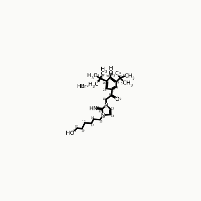 Br.CC(C)(C)c1cc(C(=O)Cn2ccn(CCCCCCO)c2=N)cc(C(C)(C)C)c1O